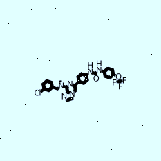 CN(Cc1cccc(Cl)c1)c1nc(-c2ccc(NC(=O)Nc3ccc(OC(F)(F)F)cc3)cc2)cn2ccnc12